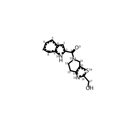 O=C(c1cc2ccccc2[nH]1)N1CCc2nc(CO)sc2C1